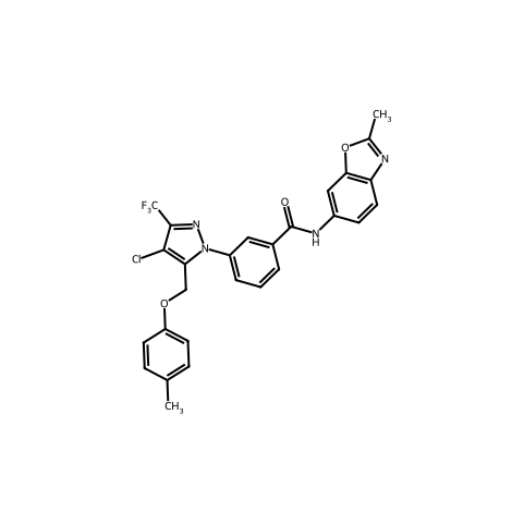 Cc1ccc(OCc2c(Cl)c(C(F)(F)F)nn2-c2cccc(C(=O)Nc3ccc4nc(C)oc4c3)c2)cc1